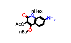 CCCCCCn1c(=O)c(OC(C)=O)c(OCCCC)c2ccc(N)cc21